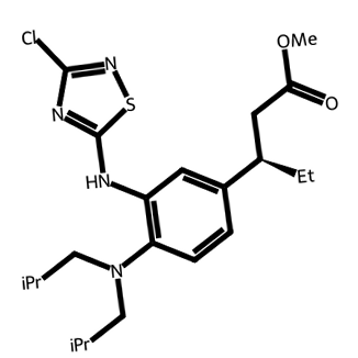 CC[C@H](CC(=O)OC)c1ccc(N(CC(C)C)CC(C)C)c(Nc2nc(Cl)ns2)c1